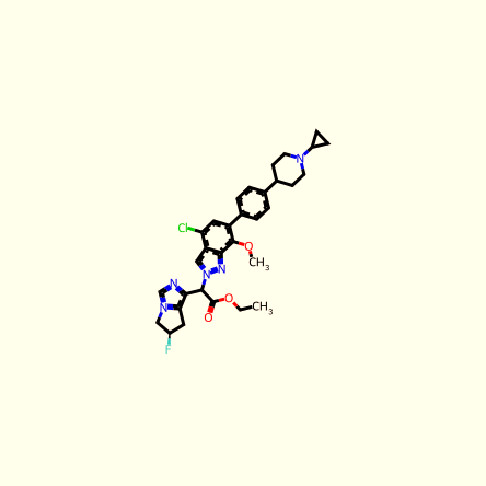 CCOC(=O)C(c1ncn2c1C[C@@H](F)C2)n1cc2c(Cl)cc(-c3ccc(C4CCN(C5CC5)CC4)cc3)c(OC)c2n1